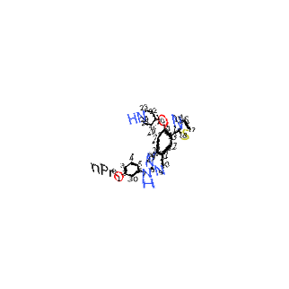 CCCOc1cccc(Nc2ncc3cc(-c4nccs4)c(OC4CCNCC4)cc3n2)c1